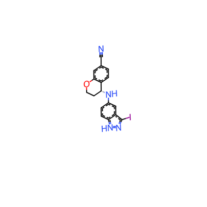 N#Cc1ccc2c(c1)OCC[C@H]2Nc1ccc2[nH]nc(I)c2c1